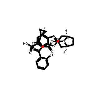 O=C(O)c1cc(F)c2nc(N3[C@@H]4CC[C@H]3C[C@@H](OC(=O)c3c(-c5ccccc5Cl)noc3C3CC3)C4)sc2c1